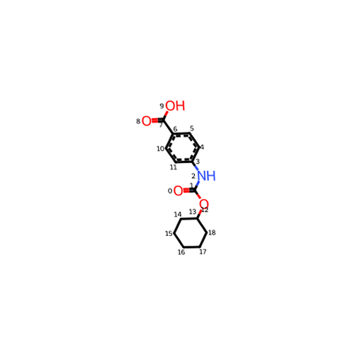 O=C(Nc1ccc(C(=O)O)cc1)OC1CCCCC1